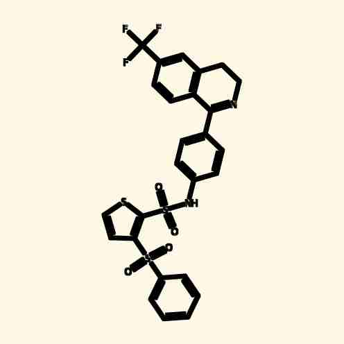 O=S(=O)(Nc1ccc(C2=NCCc3cc(C(F)(F)F)ccc32)cc1)c1sccc1S(=O)(=O)c1ccccc1